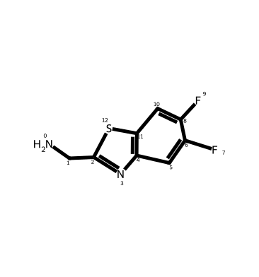 NCc1nc2cc(F)c(F)cc2s1